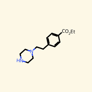 CCOC(=O)c1ccc(CCN2CCNCC2)cc1